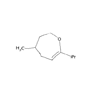 CC1CC=C(C(C)C)OCC1